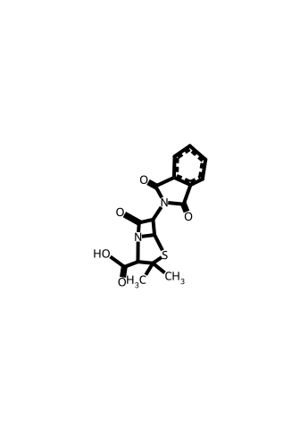 CC1(C)SC2C(N3C(=O)c4ccccc4C3=O)C(=O)N2C1C(=O)O